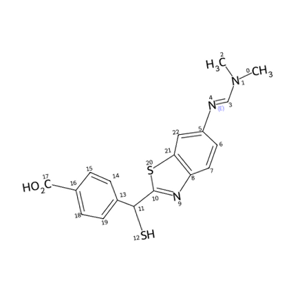 CN(C)/C=N/c1ccc2nc(C(S)c3ccc(C(=O)O)cc3)sc2c1